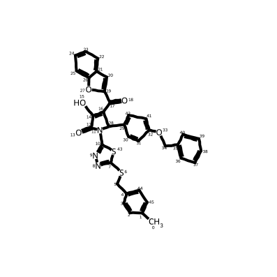 Cc1ccc(CSc2nnc(N3C(=O)C(O)=C(C(=O)c4cc5ccccc5o4)C3c3ccc(OCc4ccccc4)cc3)s2)cc1